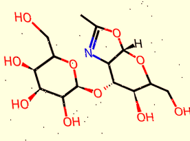 CC1=NC2[C@H](O1)OC(CO)[C@@H](O)[C@@H]2O[C@@H]1OC(CO)[C@H](O)[C@H](O)C1O